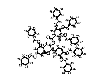 O=C(O[C@@H]1Cc2c(OCc3ccccc3)cc(OCc3ccccc3)cc2OC1c1ccc(OCc2ccccc2)c(OCc2ccccc2)c1)c1cc(OCc2ccccc2)c(OCc2ccccc2)c(OCc2ccccc2)c1F